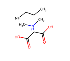 CC[CH2][Na].CNC.O=C(O)CC(=O)O